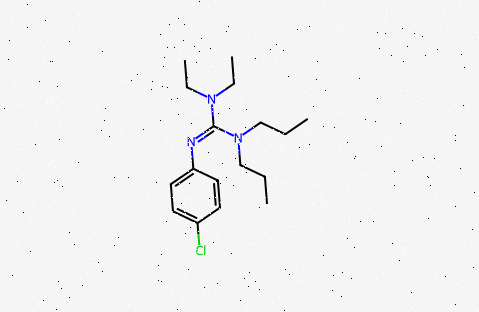 CCCN(CCC)C(=Nc1ccc(Cl)cc1)N(CC)CC